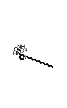 CCCCCCCCCCCCCCN1C=CC=C(NC(=O)C(N)=O)C1